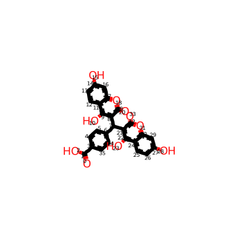 O=C(O)c1ccc(C(c2c(O)c3ccc(O)cc3oc2=O)c2c(O)c3ccc(O)cc3oc2=O)cc1